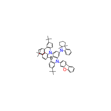 CC(C)(C)c1ccc(N2c3cc(C(C)(C)C)ccc3B3c4ccc(C(C)(C)C)cc4N(c4ccc5c(c4)oc4ccccc45)c4cc(N5c6ccccc6C6(C)CCCCC56C)cc2c43)c(-c2ccccc2)c1